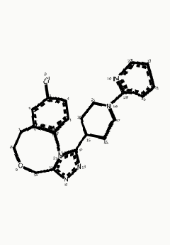 Clc1ccc2c(c1)CCOCc1nnc(C3CCN(c4ccccn4)CC3)n1-2